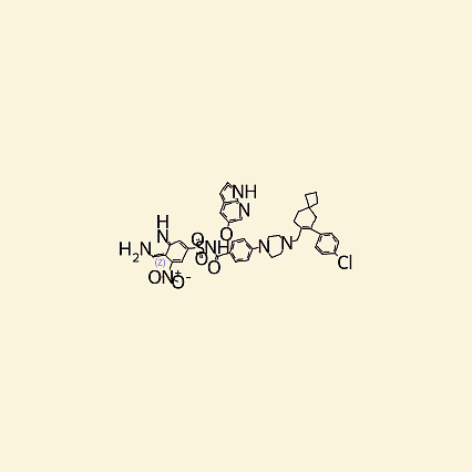 N=C1C=C(S(=O)(=O)NC(=O)c2ccc(N3CCN(CC4=C(c5ccc(Cl)cc5)CC5(CCC5)CC4)CC3)cc2Oc2cnc3[nH]ccc3c2)C=C([N+](=O)[O-])/C1=C/N